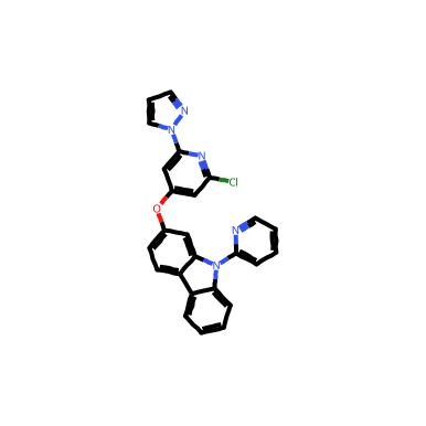 Clc1cc(Oc2ccc3c4ccccc4n(-c4ccccn4)c3c2)cc(-n2cccn2)n1